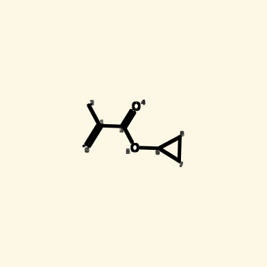 [CH]=C(C)C(=O)OC1CC1